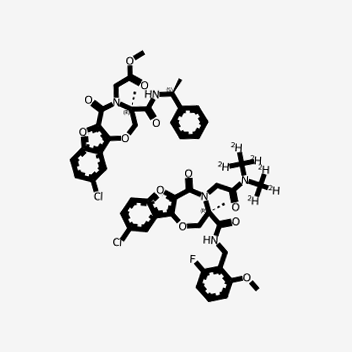 COC(=O)CN1C(=O)c2oc3ccc(Cl)cc3c2OC[C@]1(C)C(=O)N[C@@H](C)c1ccccc1.[2H]C([2H])([2H])N(C(=O)CN1C(=O)c2oc3ccc(Cl)cc3c2OC[C@]1(C)C(=O)NCc1c(F)cccc1OC)C([2H])([2H])[2H]